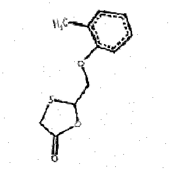 Cc1ccccc1OCC1OC(=O)CS1